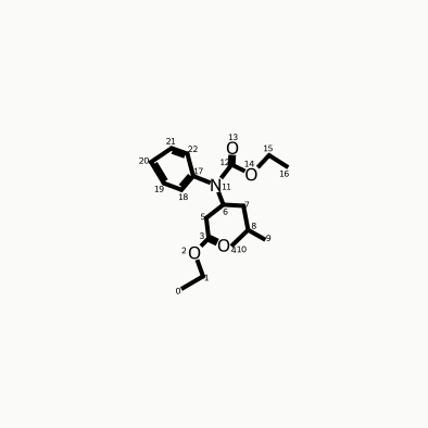 CCOC(=O)CC(CC(C)C)N(C(=O)OCC)c1ccccc1